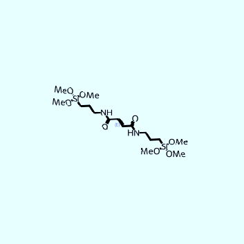 CO[Si](CCCNC(=O)/C=C/C(=O)NCCC[Si](OC)(OC)OC)(OC)OC